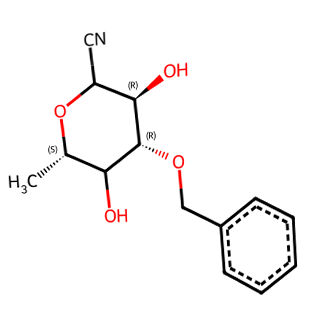 C[C@@H]1OC(C#N)[C@@H](O)[C@H](OCc2ccccc2)C1O